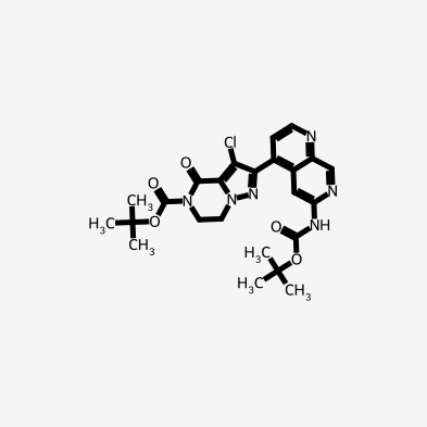 CC(C)(C)OC(=O)Nc1cc2c(-c3nn4c(c3Cl)C(=O)N(C(=O)OC(C)(C)C)CC4)ccnc2cn1